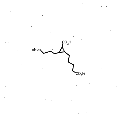 CCCCCCCCCCCCC1C(CCCCC(=O)O)C1C(=O)O